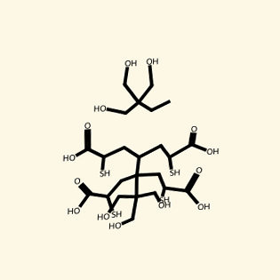 CCC(CO)(CO)CO.O=C(O)C(S)CC(CC(S)C(=O)O)C(CC(S)C(=O)O)(CC(S)C(=O)O)C(CO)(CO)CO